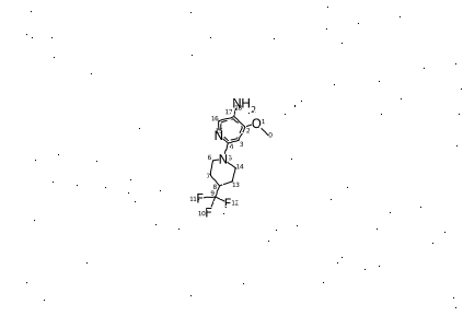 COc1cc(N2CCC(C(F)(F)F)CC2)ncc1N